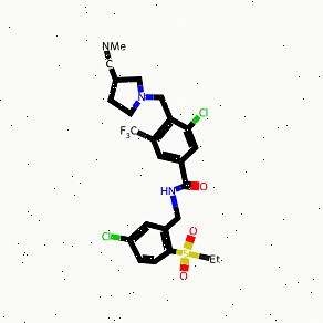 CCS(=O)(=O)c1ccc(Cl)cc1CNC(=O)c1cc(Cl)c(CN2CCC(CNC)C2)c(C(F)(F)F)c1